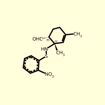 CC1=C[C@](C)(NSc2ccccc2[N+](=O)[O-])[C@H](C=O)CC1